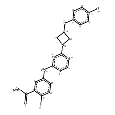 CNC(=O)c1cc(Nc2ncnc(N3CC(Oc4ccc(Cl)cc4)C3)n2)ccc1F